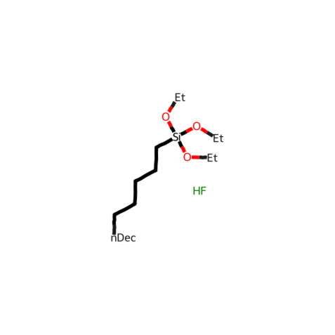 CCCCCCCCCCCCCCC[Si](OCC)(OCC)OCC.F